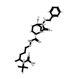 CC(CCCONC(=O)[C@@H]1CC[C@@H]2CN1C(=O)N2OCc1ccccc1)N(C(=O)O)C(C)(C)C